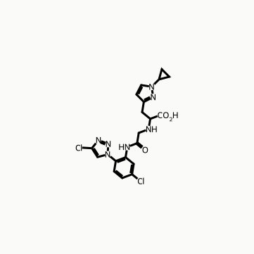 O=C(CNC(Cc1ccn(C2CC2)n1)C(=O)O)Nc1cc(Cl)ccc1-n1cc(Cl)nn1